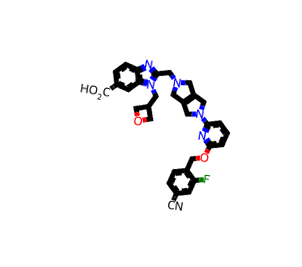 N#Cc1ccc(COc2cccc(N3CC4=C(CN(Cc5nc6ccc(C(=O)O)cc6n5CC5COC5)C4)C3)n2)c(F)c1